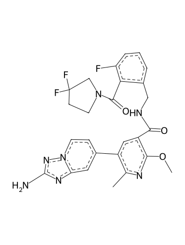 COc1nc(C)c(-c2ccn3nc(N)nc3c2)cc1C(=O)NCc1cccc(F)c1C(=O)N1CCC(F)(F)C1